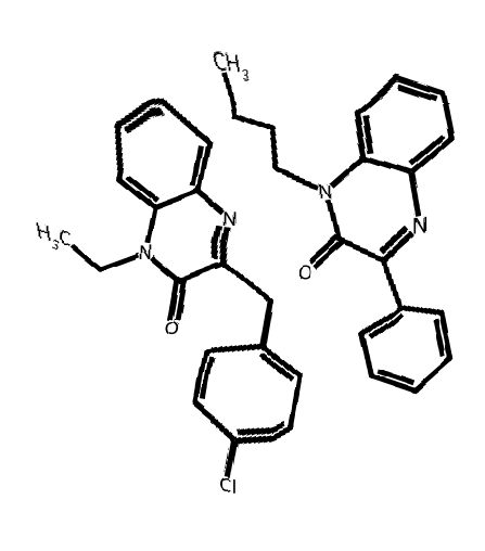 CCCCn1c(=O)c(-c2ccccc2)nc2ccccc21.CCn1c(=O)c(Cc2ccc(Cl)cc2)nc2ccccc21